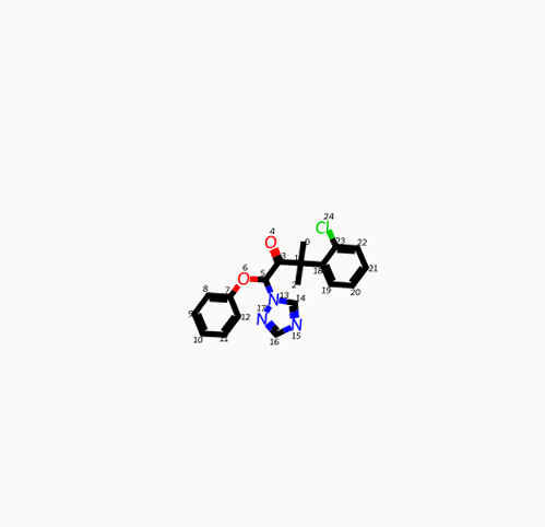 CC(C)(C(=O)C(Oc1ccccc1)n1cncn1)c1ccccc1Cl